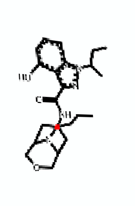 CCCCN1C2COCC1CC(NC(=O)c1nn(C(C)CC)c3cccc(O)c13)C2